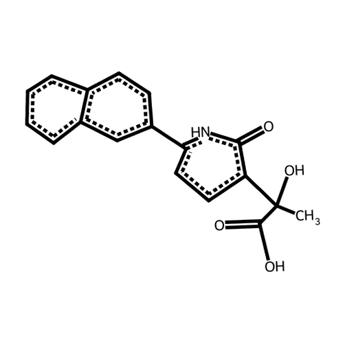 CC(O)(C(=O)O)c1ccc(-c2ccc3ccccc3c2)[nH]c1=O